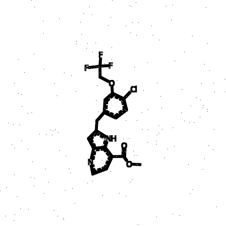 COC(=O)c1ccnc2cc(Cc3ccc(Cl)c(OCC(F)(F)F)c3)[nH]c12